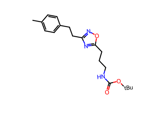 Cc1ccc(CCc2noc(CCCNC(=O)OC(C)(C)C)n2)cc1